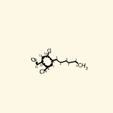 CCCCCCc1cc(Cl)c(C=O)cc1Cl